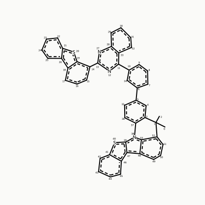 CC1(C)c2cc(-c3cccc(-c4nc(-c5cccc6c5sc5ccccc56)nc5ccccc45)c3)ccc2-n2c3sc4ccccc4c3c3cccc1c32